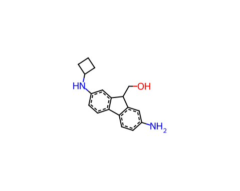 Nc1ccc2c(c1)C(CO)c1cc(NC3CCC3)ccc1-2